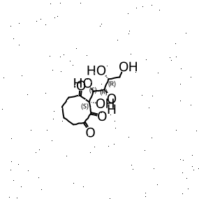 O=C1CCCCC(=O)[C@@](O)([C@@H](O)[C@H](O)[C@H](O)CO)C1=O